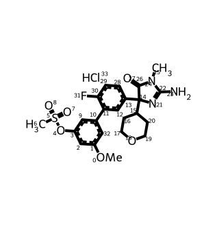 COc1cc(OS(C)(=O)=O)cc(-c2cc(C3(C4CCOCC4)N=C(N)N(C)C3=O)ccc2F)c1.Cl